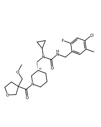 COCC1(C(=O)N2CCC[C@@H](CN(C(=O)NCc3cc(C)c(Cl)cc3F)C3CC3)C2)CCOC1